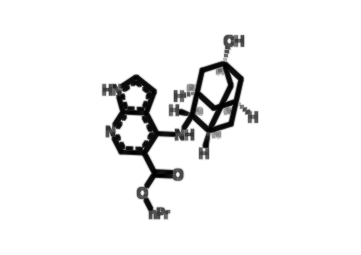 CCCOC(=O)c1cnc2[nH]ccc2c1N[C@@H]1[C@@H]2C[C@@H]3C[C@H]1C[C@](O)(C3)C2